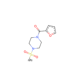 [CH2]CCS(=O)(=O)N1CCN(C(=O)c2ccco2)CC1